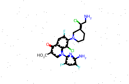 NCC(Cl)=C1CCCN(c2c(F)cc3c(=O)c(C(=O)O)cn(-c4nc(N)c(F)cc4F)c3c2Cl)C1